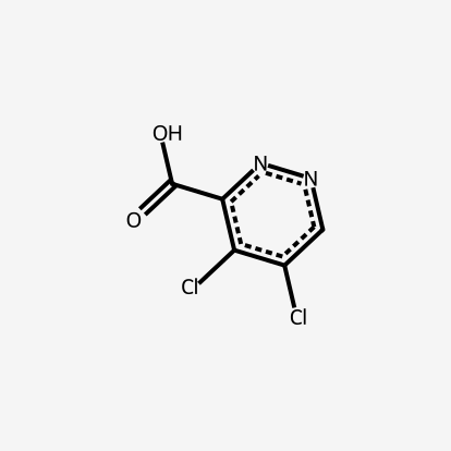 O=C(O)c1nncc(Cl)c1Cl